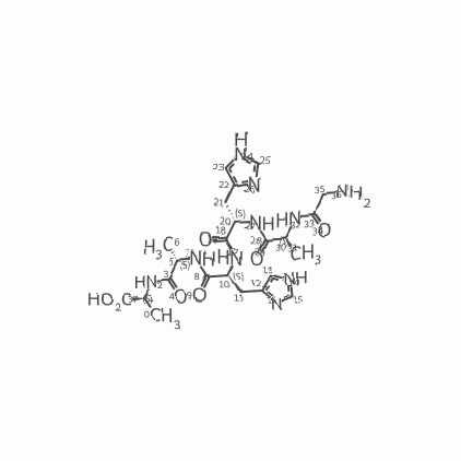 C[C@H](NC(=O)[C@H](C)NC(=O)[C@H](Cc1c[nH]cn1)NC(=O)[C@H](Cc1c[nH]cn1)NC(=O)[C@H](C)NC(=O)CN)C(=O)O